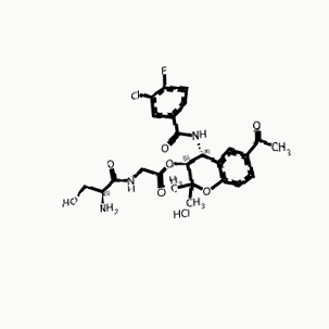 CC(=O)c1ccc2c(c1)[C@@H](NC(=O)c1ccc(F)c(Cl)c1)[C@H](OC(=O)CNC(=O)[C@@H](N)CO)C(C)(C)O2.Cl